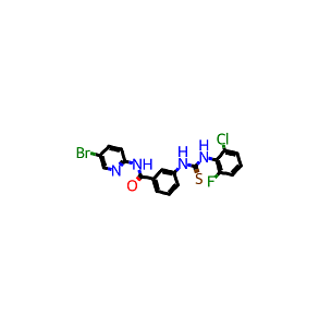 O=C(Nc1ccc(Br)cn1)c1cccc(NC(=S)Nc2c(F)cccc2Cl)c1